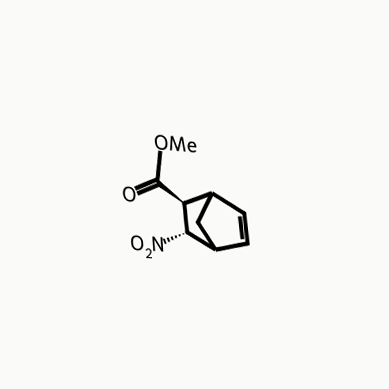 COC(=O)[C@H]1C2C=CC(C2)[C@@H]1[N+](=O)[O-]